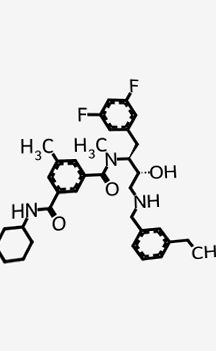 CCc1cccc(CNC[C@@H](O)[C@H](Cc2cc(F)cc(F)c2)N(C)C(=O)c2cc(C)cc(C(=O)NC3CCCCC3)c2)c1